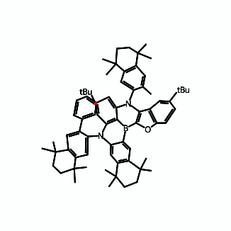 Cc1cc2c(cc1N1c3cc(C(C)(C)C)cc4c3B(c3cc5c(cc3N4c3cc4c(cc3-c3ccccc3)C(C)(C)CCC4(C)C)C(C)(C)CCC5(C)C)c3oc4ccc(C(C)(C)C)cc4c31)C(C)(C)CCC2(C)C